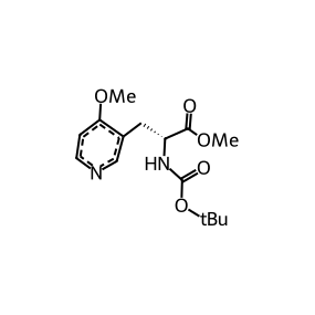 COC(=O)[C@@H](Cc1cnccc1OC)NC(=O)OC(C)(C)C